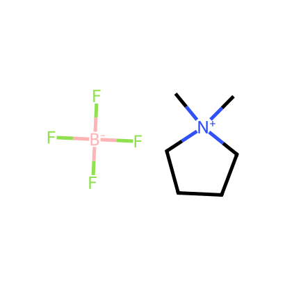 C[N+]1(C)CCCC1.F[B-](F)(F)F